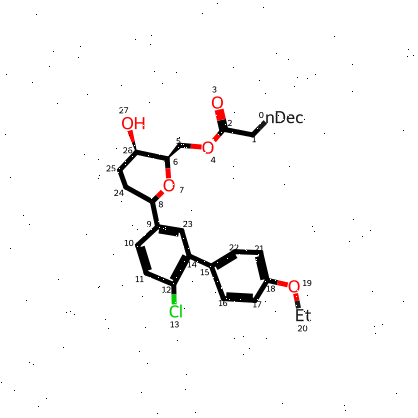 CCCCCCCCCCCC(=O)OC[C@H]1OC(c2ccc(Cl)c(-c3ccc(OCC)cc3)c2)CC[C@H]1O